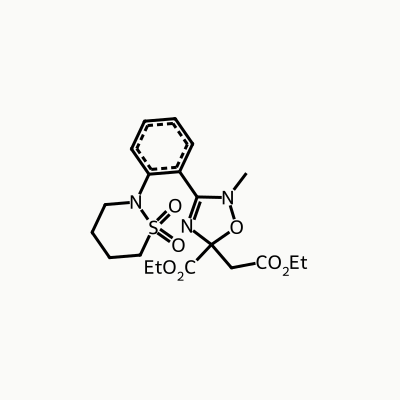 CCOC(=O)CC1(C(=O)OCC)N=C(c2ccccc2N2CCCCS2(=O)=O)N(C)O1